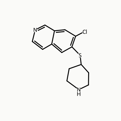 Clc1cc2cnccc2cc1SC1CCNCC1